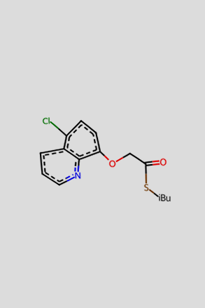 CCC(C)SC(=O)COc1ccc(Cl)c2cccnc12